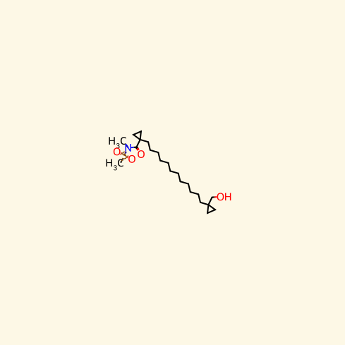 CN(C(=O)C1(CCCCCCCCCCCCC2(CO)CC2)CC1)S(C)(=O)=O